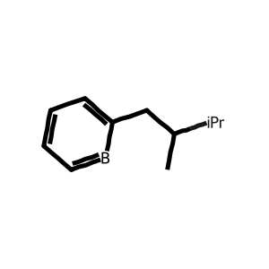 CC(C)C(C)Cc1bcccc1